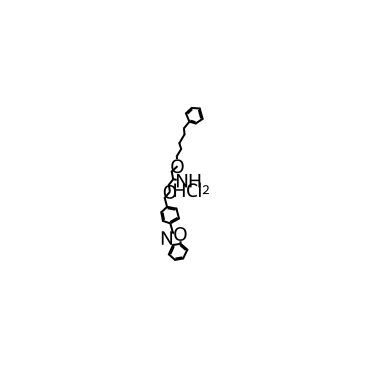 Cl.NC(COCCCCCc1ccccc1)COCc1ccc(-c2nc3ccccc3o2)cc1